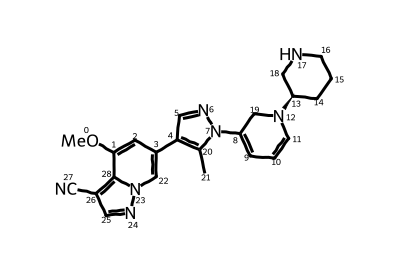 COc1cc(-c2cnn(C3=CC=CN([C@@H]4CCCNC4)C3)c2C)cn2ncc(C#N)c12